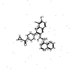 Cc1c(F)ccc2cc([C@H](C)Nc3ncnc4cccnc34)c(N3CCN(C(=O)C4CC4)CC3)nc12